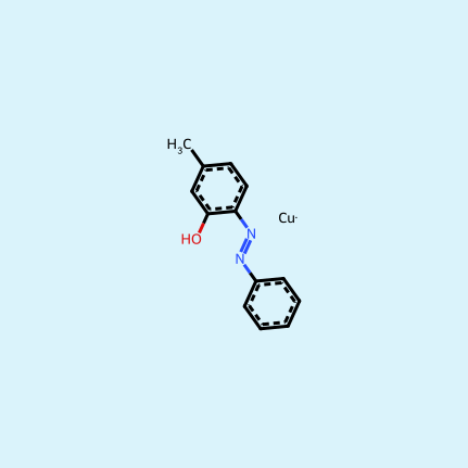 Cc1ccc(N=Nc2ccccc2)c(O)c1.[Cu]